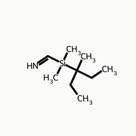 CCC(C)(CC)[Si](C)(C)C=N